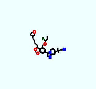 C=CC(F)OCc1cc(-c2cnc3cc(C(C)(C)C#N)ccn23)cc(OC)c1C(=O)CCCCC1CCOC1